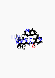 Cc1cnc2ccc(Cc3cc(C(=O)NCc4cc5c(C)nc(N)n5cn4)ccn3)cc2c1